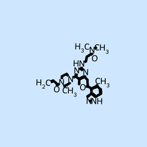 C=CC(=O)N1CCN(c2nc(NCCC(=O)N(C)C)nc3c2COC(c2c(C)ccc4[nH]ncc24)C3)C[C@H]1C